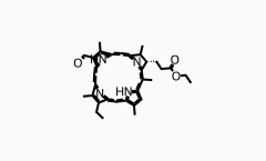 CCOC(=O)CC[C@@H]1c2nc(cc3[nH]c(cc4nc(cc5[nH]c(cc5C)c2C)C(CC)=C4C)c(C=O)c3C)C1C